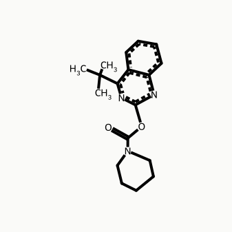 CC(C)(C)c1nc(OC(=O)N2CCCCC2)nc2ccccc12